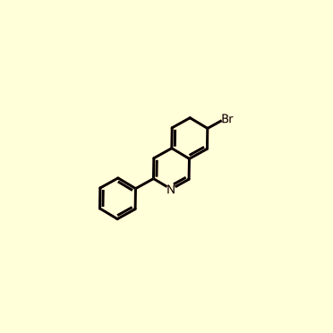 BrC1C=c2cnc(-c3ccccc3)cc2=CC1